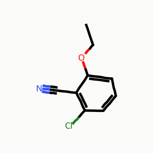 CCOc1cccc(Cl)c1C#N